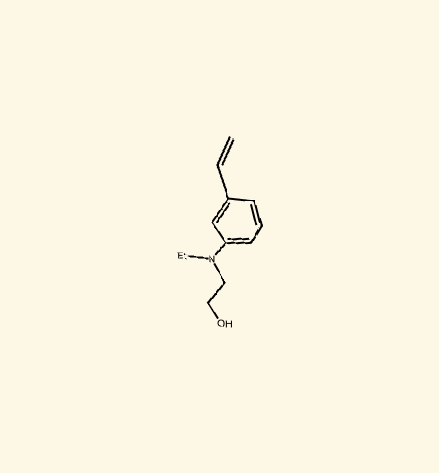 C=Cc1cccc(N(CC)CCO)c1